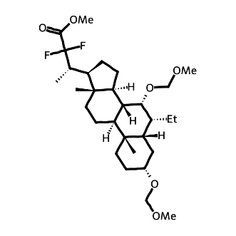 CC[C@H]1[C@@H](OCOC)[C@@H]2[C@H](CC[C@]3(C)[C@@H]([C@H](C)C(F)(F)C(=O)OC)CC[C@@H]23)[C@@]2(C)CC[C@@H](OCOC)C[C@@H]12